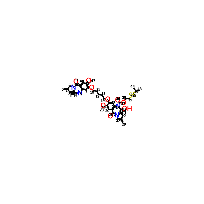 C=C1C[C@H]2C=Nc3cc(OCCCCCOc4cc5c(cc4OC)C(=O)N4CC(=C)C[C@H]4C(O)N5C(=O)OCCSSC(C)C)c(OC)cc3C(=O)N2C1